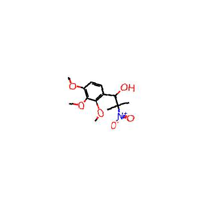 COc1ccc(C(O)C(C)(C)[N+](=O)[O-])c(OC)c1OC